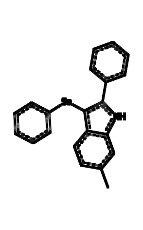 Cc1ccc2c([Se]c3ccccc3)c(-c3ccccc3)[nH]c2c1